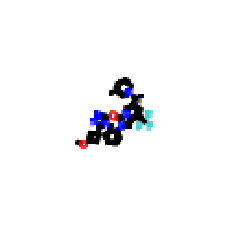 CO[C@H]1C[C@](c2cccc(-n3cc4c(C(F)(F)F)cc([C@H](C)N5CCC[C@H](C)C5)cn4c3=O)c2)(c2nncn2C)C1